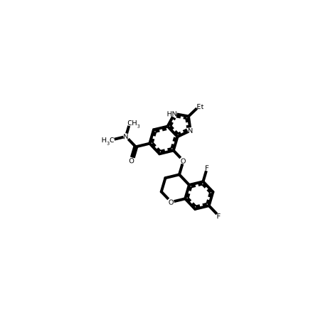 CCc1nc2c(OC3CCOc4cc(F)cc(F)c43)cc(C(=O)N(C)C)cc2[nH]1